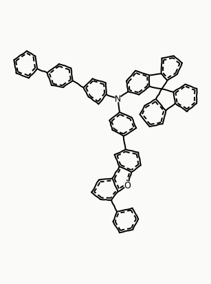 c1ccc(-c2ccc(-c3ccc(N(c4ccc(-c5ccc6oc7c(-c8ccccc8)cccc7c6c5)cc4)c4ccc5c(c4)C4(c6ccccc6-c6ccccc64)c4ccccc4-5)cc3)cc2)cc1